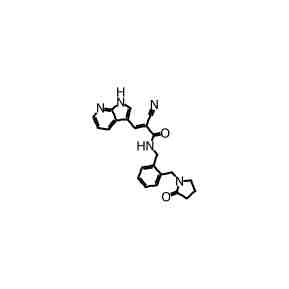 N#C/C(=C\c1c[nH]c2ncccc12)C(=O)NCc1ccccc1CN1CCCC1=O